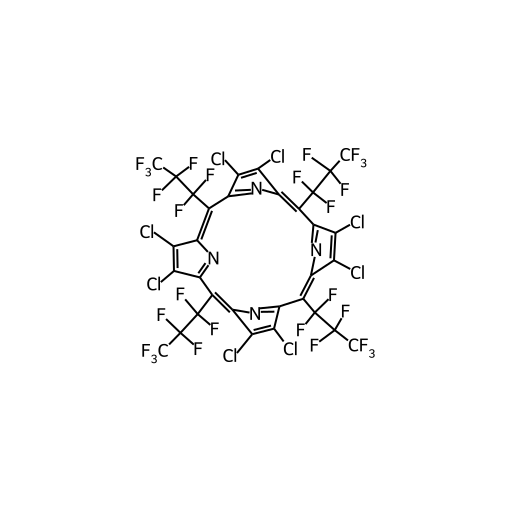 FC(F)(F)C(F)(F)C(F)(F)C1=C2N=C(C(Cl)=C2Cl)C(C(F)(F)C(F)(F)C(F)(F)F)=C2N=C(C(Cl)=C2Cl)C(C(F)(F)C(F)(F)C(F)(F)F)=C2N=C(C(Cl)=C2Cl)C(C(F)(F)C(F)(F)C(F)(F)F)=C2N=C1C(Cl)=C2Cl